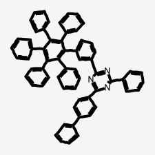 c1ccc(-c2ccc(-c3nc(-c4ccccc4)nc(-c4cccc(-c5c(-c6ccccc6)c(-c6ccccc6)c(-c6ccccc6)c(-c6ccccc6)c5-c5ccccc5)c4)n3)cc2)cc1